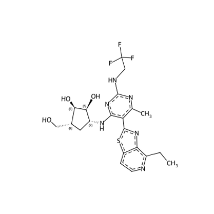 CCc1nccc2sc(-c3c(C)nc(NCC(F)(F)F)nc3N[C@@H]3C[C@H](CO)[C@@H](O)[C@H]3O)nc12